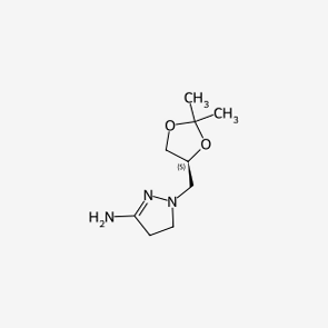 CC1(C)OC[C@H](CN2CCC(N)=N2)O1